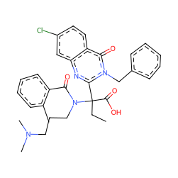 CCC(C(=O)O)(c1nc2cc(Cl)ccc2c(=O)n1Cc1ccccc1)N(CCCN(C)C)C(=O)c1ccccc1C